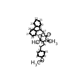 COc1ccc(CCC(C(=O)O)N(C)C(=O)OCC2c3ccccc3-c3ccccc32)cc1